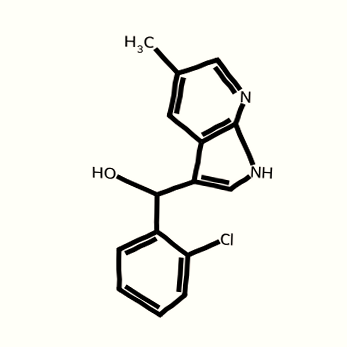 Cc1cnc2[nH]cc(C(O)c3ccccc3Cl)c2c1